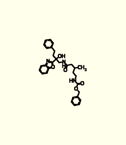 CC(CCNC(=O)OCc1ccccc1)CC(=O)NCC(O)(CCc1ccccc1)c1nc2ccccc2o1